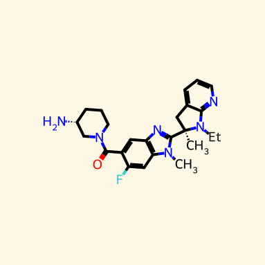 CCN1c2ncccc2C[C@]1(C)c1nc2cc(C(=O)N3CCC[C@@H](N)C3)c(F)cc2n1C